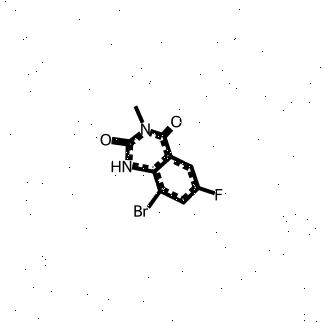 Cn1c(=O)[nH]c2c(Br)cc(F)cc2c1=O